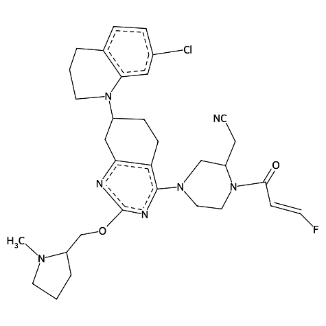 CN1CCCC1COc1nc2c(c(N3CCN(C(=O)C=CF)C(CC#N)C3)n1)CCC(N1CCCc3ccc(Cl)cc31)C2